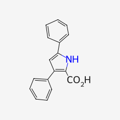 O=C(O)c1[nH]c(-c2ccccc2)cc1-c1ccccc1